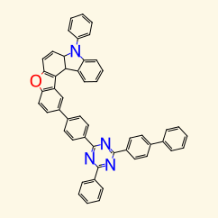 C1=CC2C(c3ccccc3N2c2ccccc2)c2c1oc1ccc(-c3ccc(-c4nc(-c5ccccc5)nc(-c5ccc(-c6ccccc6)cc5)n4)cc3)cc21